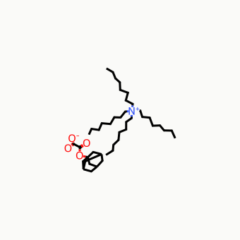 CCCCCCCC[N+](CCCCCCCC)(CCCCCCCC)CCCCCCCC.O=C([O-])C(=O)OC12CC3CC(CC(C3)C1)C2